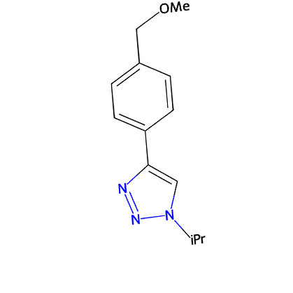 COCc1ccc(-c2cn(C(C)C)nn2)cc1